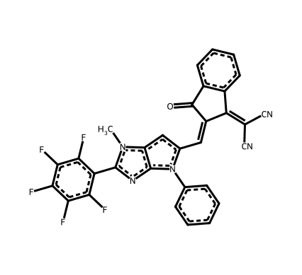 Cn1c(-c2c(F)c(F)c(F)c(F)c2F)nc2c1cc(/C=C1\C(=O)c3ccccc3C1=C(C#N)C#N)n2-c1ccccc1